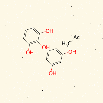 CC(C)=O.Oc1cccc(O)c1.Oc1cccc(O)c1O